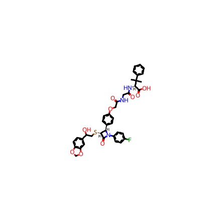 CC(C)(c1ccccc1)[C@@H](NC(=O)CNC(=O)COc1ccc([C@@H]2[C@@H](SCC(O)c3ccc4c(c3)OCO4)C(=O)N2c2ccc(F)cc2)cc1)C(=O)O